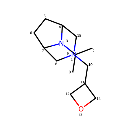 CC(C)N1C2CCC1CN(CC1COC1)C2